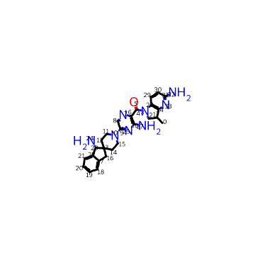 CC1CN(C(=O)c2ncc(N3CCC4(CC3)Cc3ccccc3[C@H]4N)nc2N)c2ccc(N)nc21